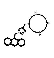 c1ccc2c(Cn3cc(CN4CCCNCCNCCCNCC4)nn3)c3ccccc3cc2c1